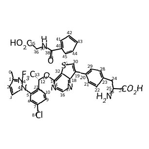 Cc1ccn(-c2cc(Cl)ccc2[C@@H](Oc2ncnc3c(-c4ccc(CC(N)C(=O)O)cc4)csc23)C(F)(F)F)n1.O=C(O)CNC(=O)c1ccccc1